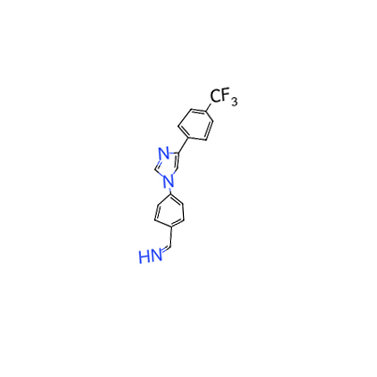 N=Cc1ccc(-n2cnc(-c3ccc(C(F)(F)F)cc3)c2)cc1